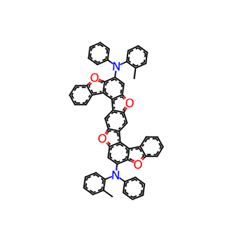 Cc1ccccc1N(c1ccccc1)c1cc2oc3cc4c(cc3c2c2c1oc1ccccc12)oc1cc(N(c2ccccc2)c2ccccc2C)c2oc3ccccc3c2c14